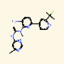 C=C(Nc1cc(C)ncn1)N(C)c1nc(-c2ccnc(C(C)(C)F)c2)ccc1N